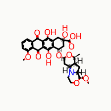 COc1cccc2c1C(=O)c1c(O)c3c(c(O)c1C2=O)C[C@@](O)(C(=O)O)C[C@@H]3O[C@H]1C[C@H]2[C@H](C[C@@H]3[C@@H](OC)OCCN32)[C@H](C)O1